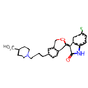 O=C1Nc2ccc(F)cc2C1=C1OCc2cc(CCCN3CCC(C(=O)O)CC3)ccc21